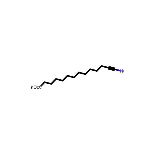 CCCCCCCCCCCCCCCCCCCC#C[N]